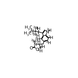 [2H]c1c(C[C@]2([2H])N([2H])C(=O)OC2([2H])[2H])c([2H])c2c(C([2H])([2H])C([2H])([2H])N(C)C)cn([2H])c2c1[2H]